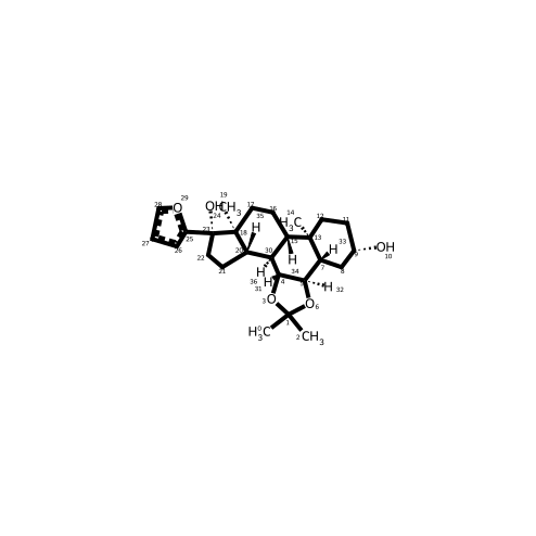 CC1(C)O[C@H]2[C@H](O1)[C@H]1C[C@@H](O)CC[C@]1(C)[C@H]1CC[C@@]3(C)[C@@H](CC[C@@]3(O)c3ccco3)[C@H]21